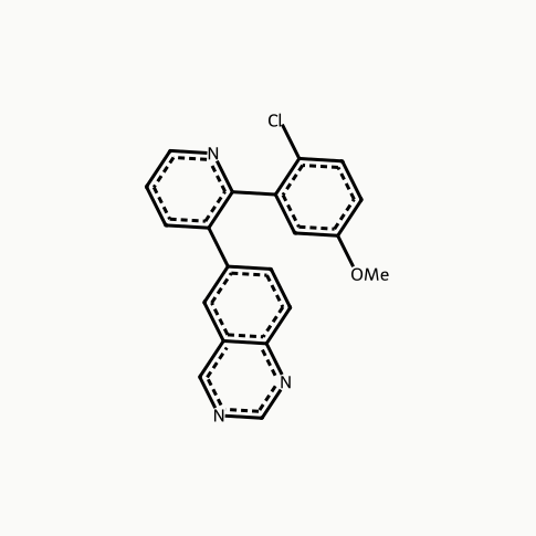 COc1ccc(Cl)c(-c2ncccc2-c2ccc3ncncc3c2)c1